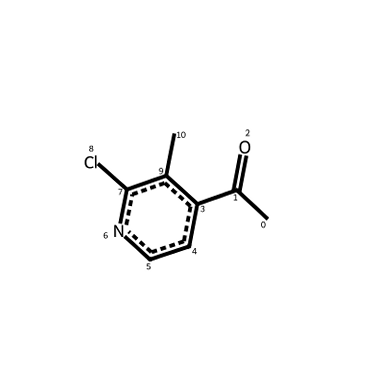 CC(=O)c1ccnc(Cl)c1C